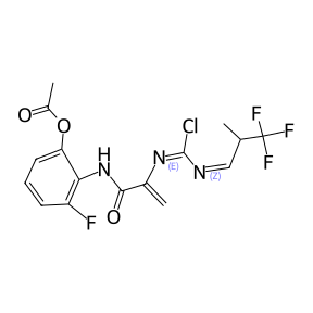 C=C(/N=C(Cl)\N=C/C(C)C(F)(F)F)C(=O)Nc1c(F)cccc1OC(C)=O